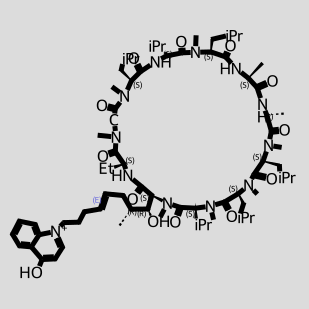 CC[C@@H]1NC(=O)[C@H]([C@H](O)[C@H](C)C/C=C/CCC[n+]2ccc(O)c3ccccc32)N(C)C(=O)[C@H](C(C)C)N(C)C(=O)[C@H](CC(C)C)N(C)C(=O)[C@H](CC(C)C)N(C)C(=O)[C@@H](C)NC(=O)[C@H](C)NC(=O)[C@H](CC(C)C)N(C)C(=O)[C@H](C(C)C)NC(=O)[C@H](CC(C)C)N(C)C(=O)CN(C)C1=O